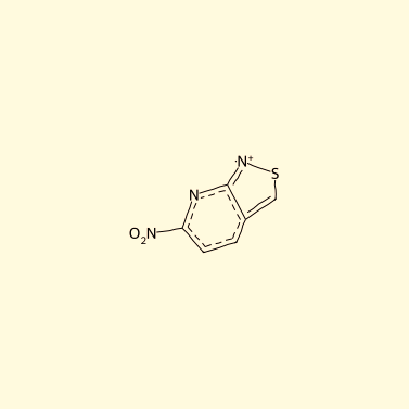 O=[N+]([O-])c1ccc2c(n1)=[N+]SC=2